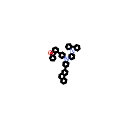 c1cc(N(c2ccc(-c3ccc4c(ccc5ccccc54)c3)cc2)c2ccc(-c3cccc4oc5ccccc5c34)cc2)cc(-n2c3ccccc3c3ccccc32)c1